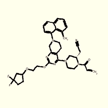 C=CC(=O)N1CCN(c2nc(OCCOC3CCC(F)(F)C3)nc3c2CCN(c2cccc4cccc(C)c24)C3)C[C@@H]1CC#N